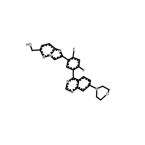 OCc1ccc2nc(-c3cc(-c4ncnc5cc(N6CCOCC6)ccc45)c(F)cc3F)cn2n1